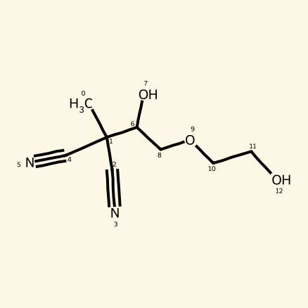 CC(C#N)(C#N)C(O)COCCO